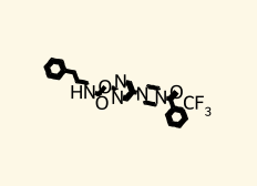 O=C(NCCCc1ccccc1)Oc1ncc(N2CCN(C(=O)c3ccccc3C(F)(F)F)CC2)cn1